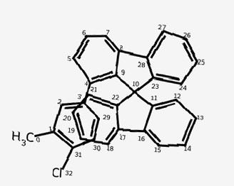 Cc1cc(-c2cccc3c2C2(c4ccccc4-c4ccccc42)c2ccccc2-3)ccc1Cl